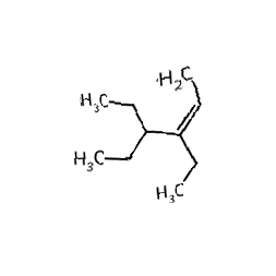 [CH2]C=C(CC)C(CC)CC